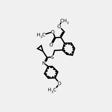 CO/C=C(\C(=O)OC)c1ccccc1CS/C(=N\c1ccc(OC)cc1)C1CC1